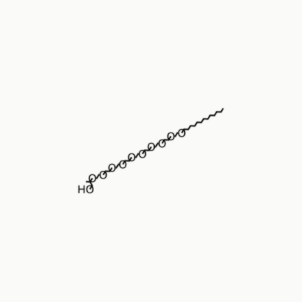 CCCCCCCCCCCCCOCCOCCOCCOCCOCCOCCOCCOCCOCCOC(C)CO